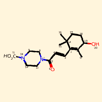 CC1=C(C=CC(=O)N2CCN(C(=O)O)CC2)C(C)(C)CCC1O